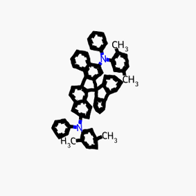 Cc1ccc(C)c(N(c2ccccc2)c2ccc3c4c(ccc3c2)-c2c(cc(N(c3ccccc3)c3cc(C)ccc3C)c3ccccc23)C42c3ccccc3-c3ccccc32)c1